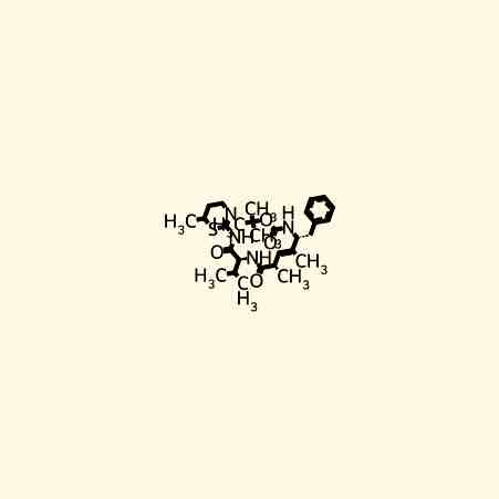 C/C(=C\[C@@H](C)C(=O)N[C@H](C(=O)NC1=NCCC(C)S1)C(C)C)[C@@H](Cc1ccccc1)NC(=O)OC(C)(C)C